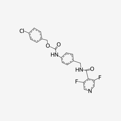 O=C(Nc1ccc(CNC(=O)c2c(F)cncc2F)cc1)OCc1ccc(Cl)cc1